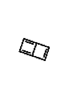 c1cc2ccc1-2